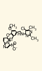 COc1cc(CNc2nc(C)nc(C)c2Cl)cc(Cl)c1Oc1ccc2ncc([N+](=O)[O-])n2n1